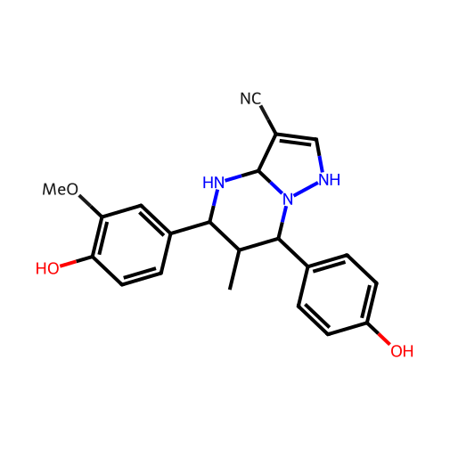 COc1cc(C2NC3C(C#N)=CNN3C(c3ccc(O)cc3)C2C)ccc1O